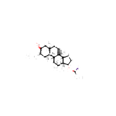 CC(I)O[C@H]1CC[C@H]2[C@@H]3CC[C@H]4CC(=O)[C@H](C)C[C@]4(C)[C@H]3CC[C@]12C